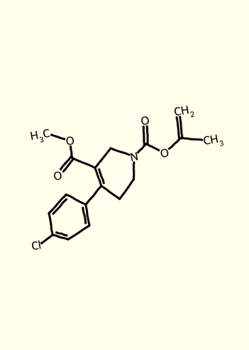 C=C(C)OC(=O)N1CCC(c2ccc(Cl)cc2)=C(C(=O)OC)C1